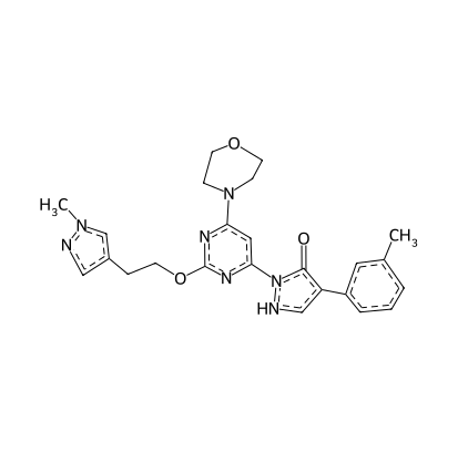 Cc1cccc(-c2c[nH]n(-c3cc(N4CCOCC4)nc(OCCc4cnn(C)c4)n3)c2=O)c1